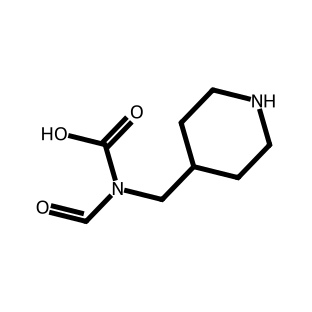 O=CN(CC1CCNCC1)C(=O)O